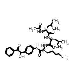 CC(=O)N[C@@H](CC(C)C)C(=O)N[C@@H](CC(C)C)C(=O)N[C@@H](CCCCN)C(=O)Nc1ccc(C(O)C(=O)c2ccccc2)cc1